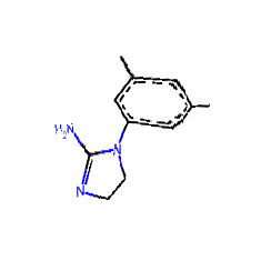 Cc1cc(C)cc(N2CCN=C2N)c1